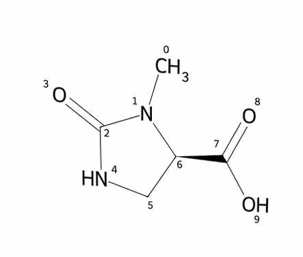 CN1C(=O)NC[C@@H]1C(=O)O